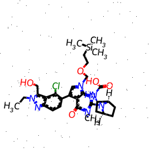 CCn1nc2ccc(-c3cn(COCC[Si](C)(C)C)c4nc(N5[C@H]6CC[C@@H]5[C@H](NC(=O)O)C6)n(C)c(=O)c34)c(Cl)c2c1CO